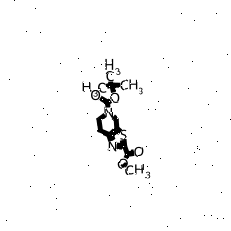 COC(=O)c1nc2c(s1)CN(C(=O)OC(C)(C)C)CC2